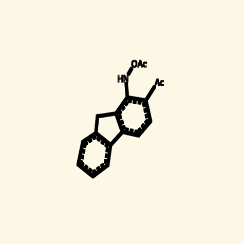 CC(=O)ONc1c(C(C)=O)ccc2c1Cc1ccccc1-2